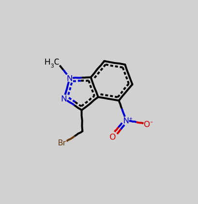 Cn1nc(CBr)c2c([N+](=O)[O-])cccc21